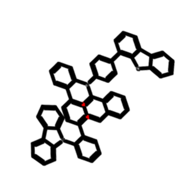 c1ccc(N(c2ccc(-c3cccc4c3oc3ccccc34)cc2)c2cccc3ccccc23)c(-c2ccc(-c3ccccc3-n3c4ccccc4c4ccccc43)cc2)c1